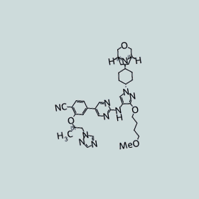 COCCCCOc1nn([C@H]2CC[C@H](N3[C@@H]4CC[C@H]3COC4)CC2)cc1Nc1ncc(-c2ccc(C#N)c(O[C@@H](C)Cn3cncn3)c2)cn1